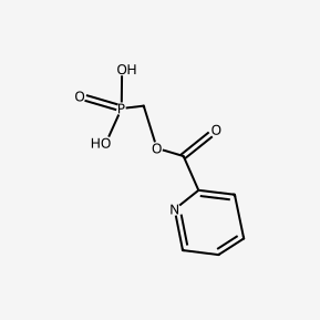 O=C(OCP(=O)(O)O)c1ccccn1